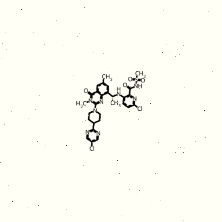 Cc1cc([C@@H](C)Nc2ccc(Cl)nc2C(=O)NS(C)(=O)=O)c2nc(N3CCC(c4ncc(Cl)cn4)CC3)n(C)c(=O)c2c1